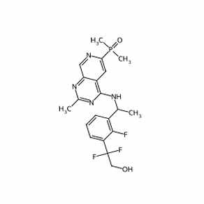 Cc1nc(NC(C)c2cccc(C(F)(F)CO)c2F)c2cc(P(C)(C)=O)ncc2n1